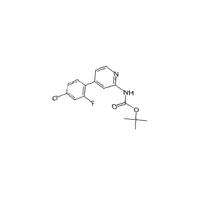 CC(C)(C)OC(=O)Nc1cc(-c2ccc(Cl)cc2F)ccn1